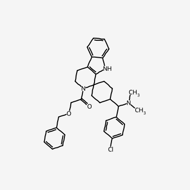 CN(C)C(c1ccc(Cl)cc1)C1CCC2(CC1)c1[nH]c3ccccc3c1CCN2C(=O)COCc1ccccc1